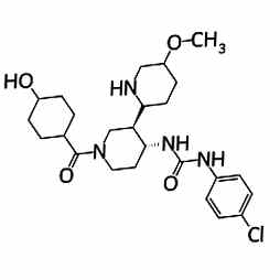 COC1CCC([C@@H]2CN(C(=O)C3CCC(O)CC3)CC[C@H]2NC(=O)Nc2ccc(Cl)cc2)NC1